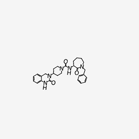 O=C(N[C@H]1CCCCN(Cc2ccccc2)C1=O)N1CCC(N2Cc3ccccc3NC2=O)CC1